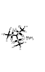 O=S(=O)(C(S(=O)(=O)C(F)(F)F)S(=O)(=O)C(F)(F)F)C(F)(F)F.[MgH2]